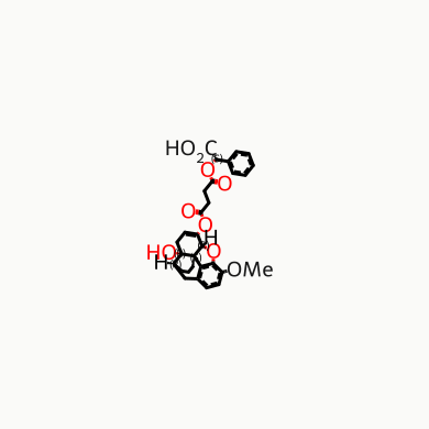 COc1ccc2c3c1O[C@H]1C(OC(=O)CCC(=O)O[C@H](C(=O)O)c4ccccc4)=CC[C@@]4(O)[C@H](CCC[C@]314)C2